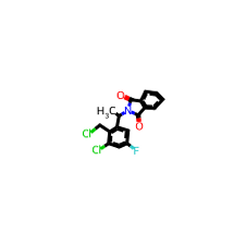 CC(c1cc(F)cc(Cl)c1CCl)N1C(=O)c2ccccc2C1=O